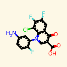 Nc1ccc(F)c(-n2cc(C(=O)O)c(=O)c3cc(F)c(F)c(Cl)c32)c1